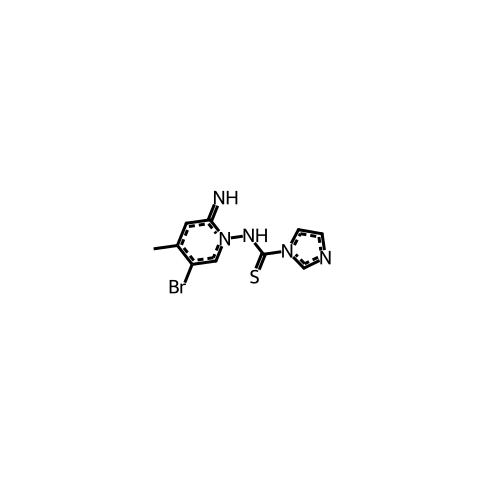 Cc1cc(=N)n(NC(=S)n2ccnc2)cc1Br